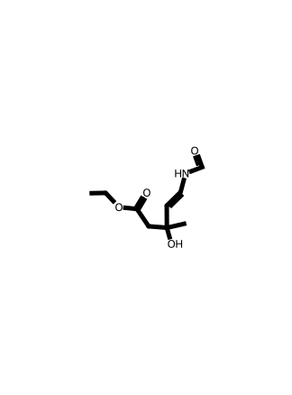 CCOC(=O)CC(C)(O)C=CNC=O